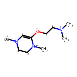 CCC(C)N1C=C(OCCN(C)C)N(C)CC1